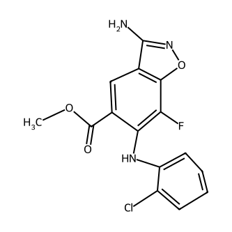 COC(=O)c1cc2c(N)noc2c(F)c1Nc1ccccc1Cl